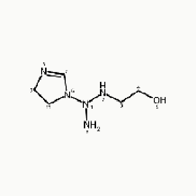 NN(NCCO)N1C=NCC1